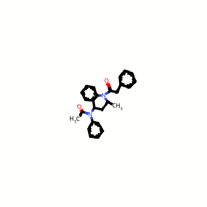 CC(=O)N(c1ccccc1)C1CC(C)N(C(=O)Cc2ccccc2)c2ccccc21